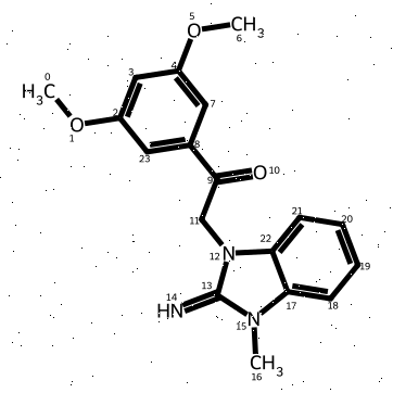 COc1cc(OC)cc(C(=O)Cn2c(=N)n(C)c3ccccc32)c1